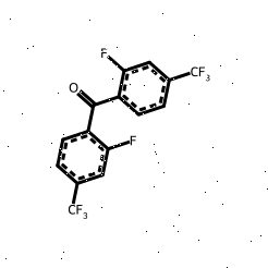 O=C(c1ccc(C(F)(F)F)cc1F)c1ccc(C(F)(F)F)cc1F